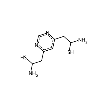 NC(S)Cc1cc(CC(N)S)ncn1